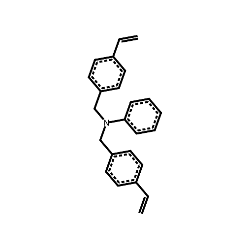 C=Cc1ccc(CN(Cc2ccc(C=C)cc2)c2ccccc2)cc1